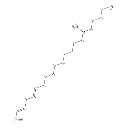 CCCCCC=CCC=CCCCCCCCCCC(N)CCCCC(C)C